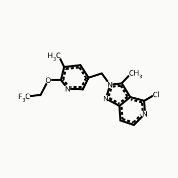 Cc1cc(Cn2nc3ccnc(Cl)c3c2C)cnc1OCC(F)(F)F